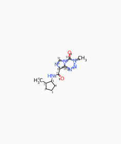 CC1CCCC1NC(=O)c1ncn2c(=O)n(C)nnc12